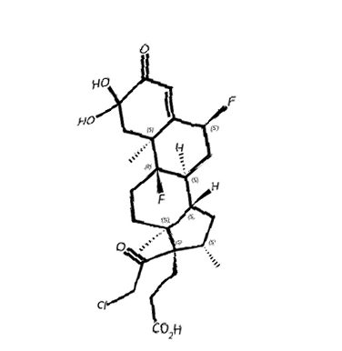 C[C@H]1C[C@H]2[C@@H]3C[C@H](F)C4=CC(=O)C(O)(O)C[C@]4(C)[C@@]3(F)CC[C@]2(C)[C@@]1(CCC(=O)O)C(=O)CCl